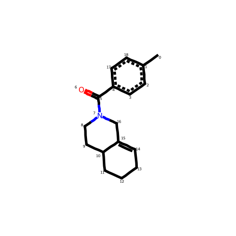 Cc1ccc(C(=O)N2CCC3CCCC=C3C2)cc1